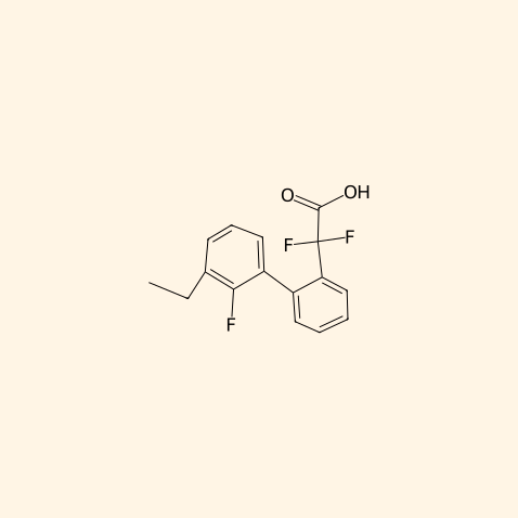 CCc1cccc(-c2ccccc2C(F)(F)C(=O)O)c1F